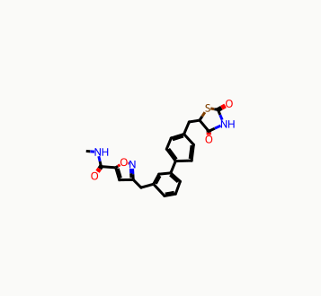 CNC(=O)c1cc(Cc2cccc(-c3ccc(CC4SC(=O)NC4=O)cc3)c2)no1